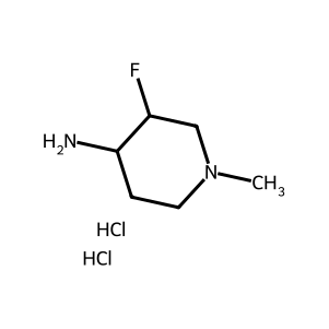 CN1CCC(N)C(F)C1.Cl.Cl